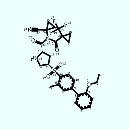 CCOc1ccccc1-c1ccc(S(=O)(=O)[C@H]2CN[C@H](C(=O)N(C(=O)C3(C(F)(F)F)CC3)C3(C#N)CC3)C2)c(C)c1